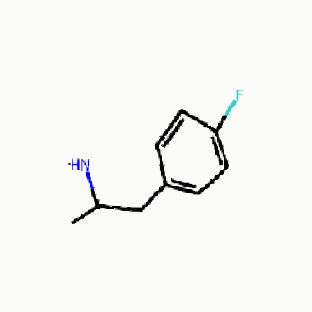 CC([NH])Cc1ccc(F)cc1